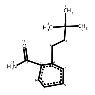 CC(C)(C)CCc1ccccc1C(N)=O